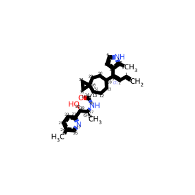 C=C/C=C(\c1cc[nH]c1C)C1CC[C@H](C(=O)N[C@@H](C)[C@@H](O)c2ccc(C)cn2)C2(CC1)CC2